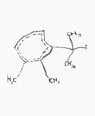 Cc1cccc(C(C)(C)F)c1C